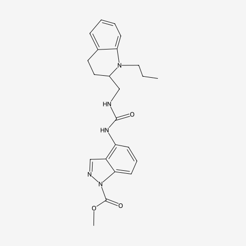 CCCN1c2ccccc2CCC1CNC(=O)Nc1cccc2c1cnn2C(=O)OC